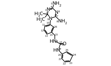 CC1(C)N=C(N)N=C(N)N1c1cccc(CNC(=O)Nc2ccccc2)c1